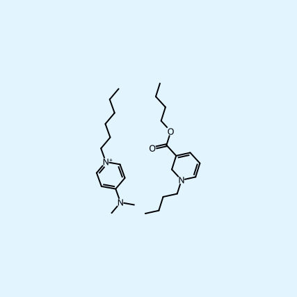 CCCCCC[n+]1ccc(N(C)C)cc1.CCCCOC(=O)C1=CC=CN(CCCC)C1